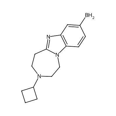 Bc1ccc2c(c1)nc1n2CCN(C2CCC2)CC1